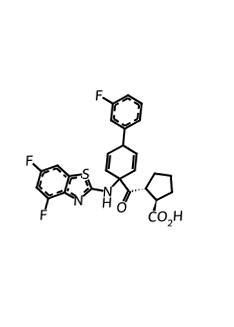 O=C(O)[C@@H]1CCC[C@H]1C(=O)C1(Nc2nc3c(F)cc(F)cc3s2)C=CC(c2cccc(F)c2)C=C1